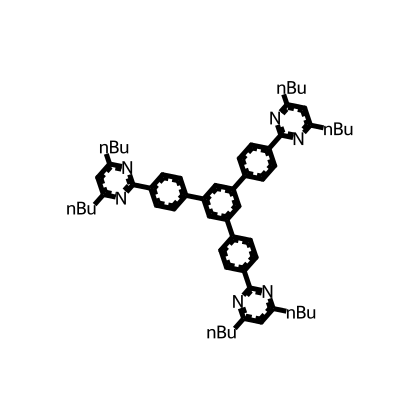 CCCCc1cc(CCCC)nc(-c2ccc(-c3cc(-c4ccc(-c5nc(CCCC)cc(CCCC)n5)cc4)cc(-c4ccc(-c5nc(CCCC)cc(CCCC)n5)cc4)c3)cc2)n1